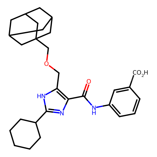 O=C(O)c1cccc(NC(=O)c2nc(C3CCCCC3)[nH]c2COCC23CC4CC(CC(C4)C2)C3)c1